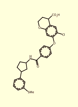 CSc1cccc(C2CCC(NC(=O)c3ccc(Oc4cc5c(cc4Cl)C(C(=O)O)CCO5)cc3)C2)c1